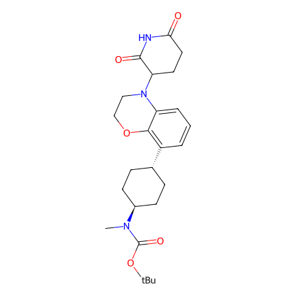 CN(C(=O)OC(C)(C)C)[C@H]1CC[C@H](c2cccc3c2OCCN3C2CCC(=O)NC2=O)CC1